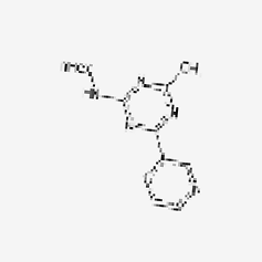 CCCCCCNc1nc(C)nc(-c2cccnc2)n1